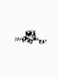 CCC(=O)Nc1cc(Nc2nccc(-c3cn(CCCO)c4cc(F)ccc34)n2)c(OC)cc1F